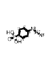 [N-]=[N+]=Nc1ccc(P(=O)(O)O)cc1